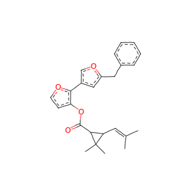 CC(C)=CC1C(C(=O)Oc2ccoc2-c2coc(Cc3ccccc3)c2)C1(C)C